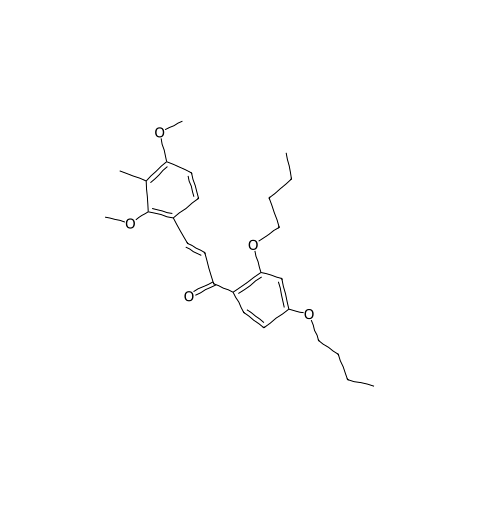 CCCCOc1ccc(C(=O)/C=C/c2ccc(OC)c(C)c2OC)c(OCCCC)c1